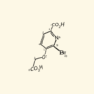 O=C(O)COc1ccc(C(=O)O)nc1Br